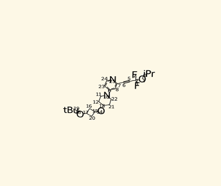 CC(C)OC(F)(F)C#Cc1cc(N2CCC(OC3CC(OC(C)(C)C)C3)CC2)ccn1